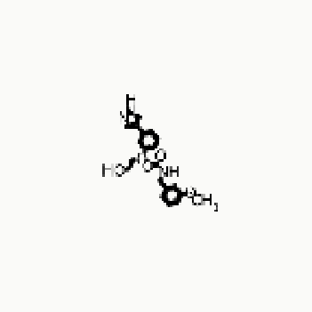 COc1cccc(CNC(=O)Oc2ccc(-c3cn[nH]c3)cc2OCCO)c1